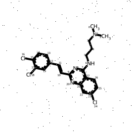 CN(C)CCCNc1nc(C=Cc2ccc(Cl)c(Cl)c2)nc2cc(Cl)ccc12